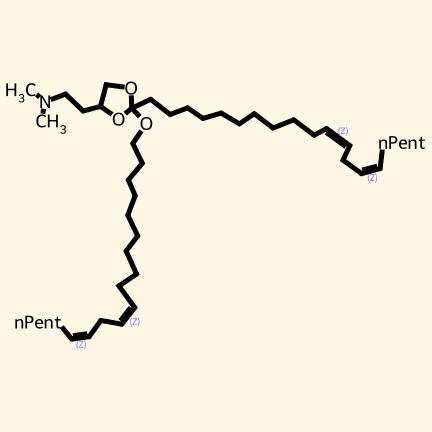 CCCCC/C=C\C/C=C\CCCCCCCCCCC1(OCCCCCCCCC/C=C\C/C=C\CCCCC)OCC(CCN(C)C)O1